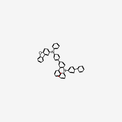 c1ccc(-c2ccc(N(c3ccccc3)c3ccc(-c4ccc(N(c5ccccc5)c5ccc6oc7ccccc7c6c5)cc4)cc3-c3ccccc3)cc2)cc1